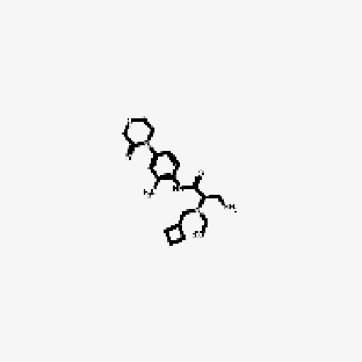 CC(C)(C)CN(CC1CCC1)[C@H](CN)C(=O)Nc1ccc(N2CCOCC2=O)cc1C(F)(F)F